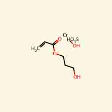 C=CC(=O)OCCCO.O=S(=O)(O)O.[Cr]